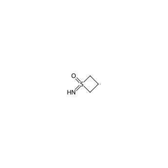 N=S1(=O)C[CH]C1